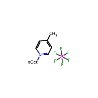 CCCCCCCC[n+]1ccc(C)cc1.F[P-](F)(F)(F)(F)F